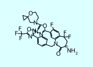 N[C@H]1CC(F)(F)c2cc(F)c(-c3nnc(N4CCOC5(CC5)C4)o3)cc2N(Cc2ccc(-c3noc(C(F)(F)F)n3)cc2)C1=O